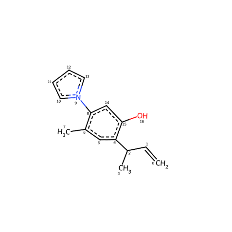 C=CC(C)c1cc(C)c(-n2cccc2)cc1O